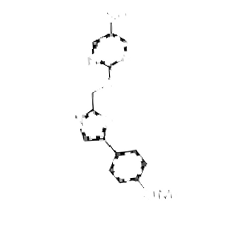 COc1ccc(-c2cnc(CSc3ncc([N+](=O)[O-])cn3)o2)cc1